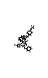 CC(C)C[C@H](NC(=O)Cc1ccccc1)C(=O)N1CCC[C@H]1C(=O)NCc1ccc(C#N)cc1